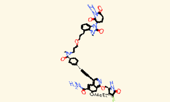 CC[C@@H]1[C@H](F)C(=O)N[C@@H]1COc1ncc(C#C[C@H]2CC[C@H](C(=O)N(C)CCCOCCCc3cccc4c3n(C)c(=O)n4C3CCC(=O)NC3=O)CC2)c2cc(C(N)=O)c(OC)cc12